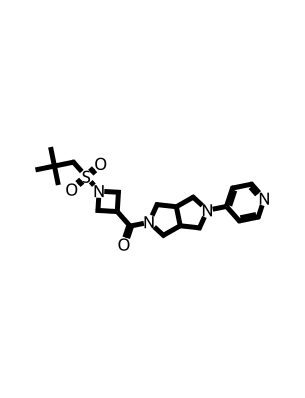 CC(C)(C)CS(=O)(=O)N1CC(C(=O)N2CC3CN(c4ccncc4)CC3C2)C1